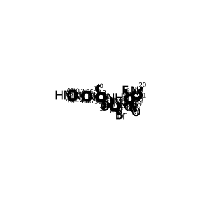 CCc1cc(Nc2ncc(Br)c(Nc3cc(F)c4nc(C)ccc4c3P(C)(C)=O)n2)c(OC)cc1N1CCC(N2CCNCC2)CC1